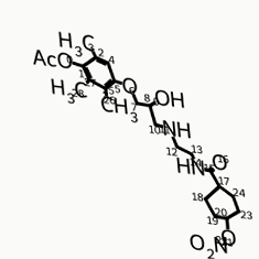 CC(=O)Oc1c(C)cc(OCC(O)CNCCNC(=O)C2CCC(O[N+](=O)[O-])CC2)c(C)c1C